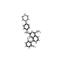 Nc1nc(Nc2ccc(N3CCOCC3)cc2)nc2c(-c3c(F)cccc3F)nccc12